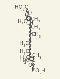 CC1=CC(OC(=O)CCC(=O)O)CC(C)(C)C1/C=C/C(C)=C/C=C/C(C)=C/C=C/C=C(C)/C=C/C=C(C)/C=C/C1=C(C)CC(OC(=O)CCC(=O)O)CC1(C)C